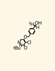 [2H]C([2H])(O)c1ccc(COc2cnn(C(C)(C)C)c(=O)c2Cl)cc1